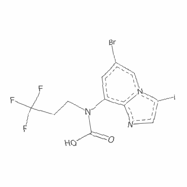 O=C(O)N(CCC(F)(F)F)c1cc(Br)cn2c(I)cnc12